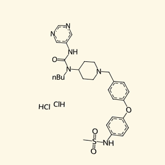 CCCCN(C(=O)Nc1cncnc1)C1CCN(Cc2ccc(Oc3ccc(NS(C)(=O)=O)cc3)cc2)CC1.Cl.Cl